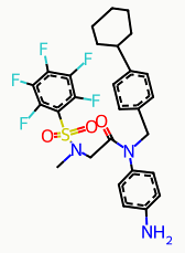 CN(CC(=O)N(Cc1ccc(C2CCCCC2)cc1)c1ccc(N)cc1)S(=O)(=O)c1c(F)c(F)c(F)c(F)c1F